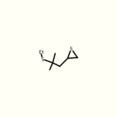 CCSC(C)(C)CC1CS1